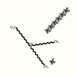 CCCCCCCCCCCCC[NH+](CCCCCCCCCCCCC)CCCCCCCCCCCCC.[O]=[Mo](=[O])([O-])[O-].[O]=[Mo](=[O])([O-])[O-].[O]=[Mo](=[O])([O-])[O-].[O]=[Mo](=[O])([O-])[O-].[O]=[Mo](=[O])([O-])[O-].[O]=[Mo](=[O])([O-])[O-].[O]=[Mo](=[O])([O-])[O-]